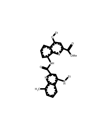 CCBc1cc(C(=O)Nc2cccc3c(OCC)cc(C(=O)OC)nc23)nc2c(C)cccc12